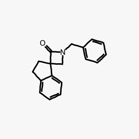 O=C1N(Cc2ccccc2)CC12CCc1ccccc12